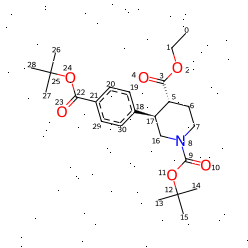 CCOC(=O)[C@@H]1CCN(C(=O)OC(C)(C)C)C[C@H]1c1ccc(C(=O)OC(C)(C)C)cc1